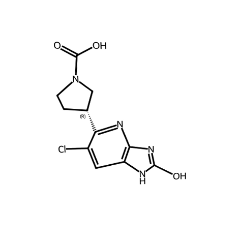 O=C(O)N1CC[C@@H](c2nc3nc(O)[nH]c3cc2Cl)C1